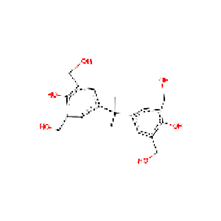 CC(C)(c1cc(CO)c(O)c(CO)c1)c1cc(CO)c(O)c(CO)c1